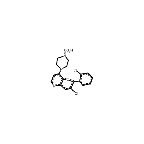 O=C(O)N1CCN(c2ccnc3cc(Cl)c(-c4ccccc4Cl)cc23)CC1